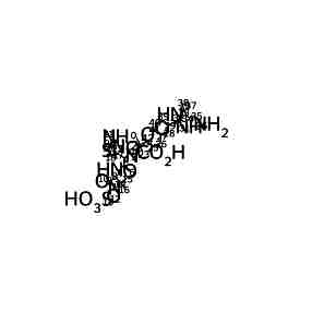 CC(ON=C(C(=O)NC1C(=O)N(OS(=O)(=O)O)C1(C)C)c1csc(N)n1)(C(=O)O)C1CCc2cc(C(=N)NC3(CCN)CC3)ccc2O1